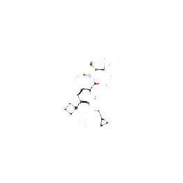 NC(=O)C1C(=O)SC(=O)N1C(=O)c1ccc(C2(O)CCC2)c(OCC2CC2)n1